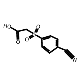 N#Cc1ccc(S(=O)(=O)CC(=O)O)cc1